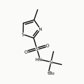 Cc1csc(S(=O)(=O)N[Si](C)(C)C(C)(C)C)n1